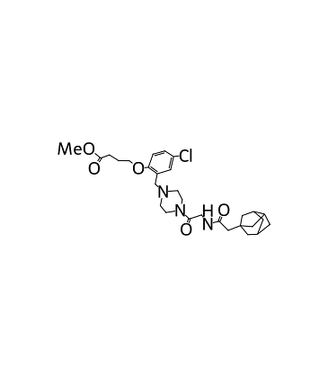 COC(=O)CCCOc1ccc(Cl)cc1CN1CCN(C(=O)CNC(=O)CC23CC4CC(C2)C(C4)C3)CC1